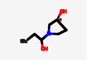 CC(C)(C)CC(O)N1CC[C@@H](O)C1